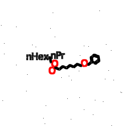 CCCCCCC(CCC)COC(=O)CCCCCCCOCc1ccccc1